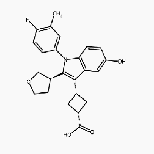 Cc1cc(-n2c([C@H]3CCOC3)c([C@H]3C[C@@H](C(=O)O)C3)c3cc(O)ccc32)ccc1F